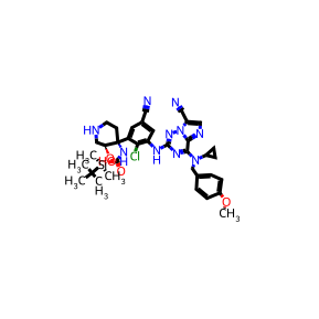 COc1ccc(CN(c2nc(Nc3cc(C#N)cc([C@@]4(NC(=O)O)CCNC[C@@H]4O[Si](C)(C)C(C)(C)C)c3Cl)nn3c(C#N)cnc23)C2CC2)cc1